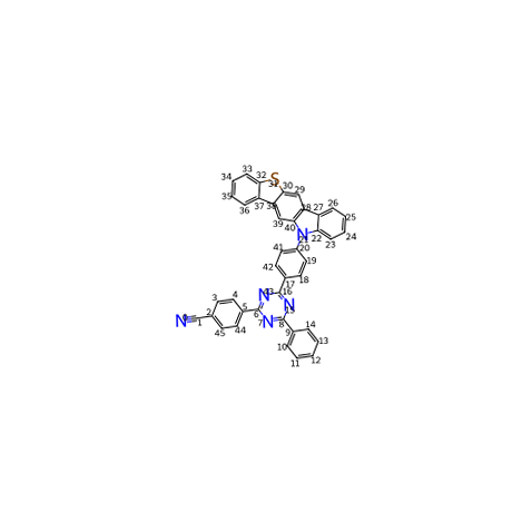 N#Cc1ccc(-c2nc(-c3ccccc3)nc(-c3ccc(-n4c5ccccc5c5cc6sc7ccccc7c6cc54)cc3)n2)cc1